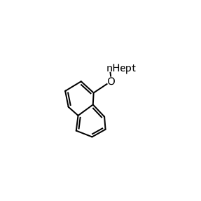 CCCCCCCOc1cccc2ccccc12